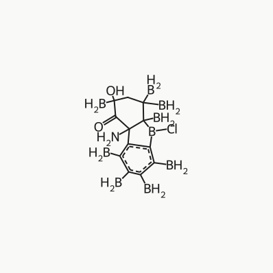 Bc1c(B)c(B)c2c(c1B)B(Cl)C1(B)C(B)(B)CC(B)(O)C(=O)C21N